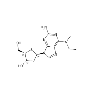 CCN(C)c1nc(N)nc2c1ncn2[C@H]1C[C@H](O)[C@@H](CO)S1